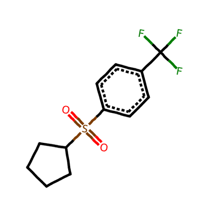 O=S(=O)(c1ccc(C(F)(F)F)cc1)C1CCCC1